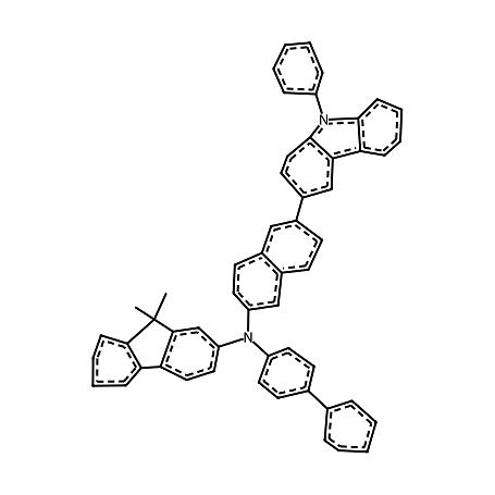 CC1(C)c2ccccc2-c2ccc(N(c3ccc(-c4ccccc4)cc3)c3ccc4cc(-c5ccc6c(c5)c5ccccc5n6-c5ccccc5)ccc4c3)cc21